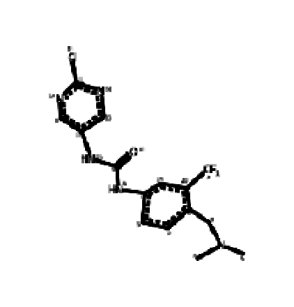 CN(C)Cc1ccc(NC(=O)Nc2cnc(Cl)nc2)cc1C(F)(F)F